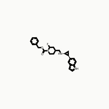 O=C(OCc1ccccc1)N1CCC(CN[C@@H]2C[C@H]2c2ccc3[nH]ccc3c2)CC1F